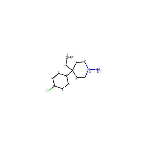 COCC1(C2CCC(Cl)CC2)CCN(N)CC1